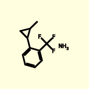 CC1CC1c1ccccc1C(F)(F)F.N